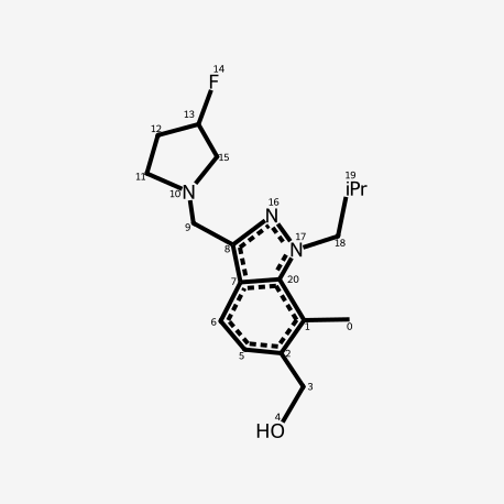 Cc1c(CO)ccc2c(CN3CCC(F)C3)nn(CC(C)C)c12